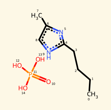 CCCCc1nc(C)c[nH]1.O=P(O)(O)O